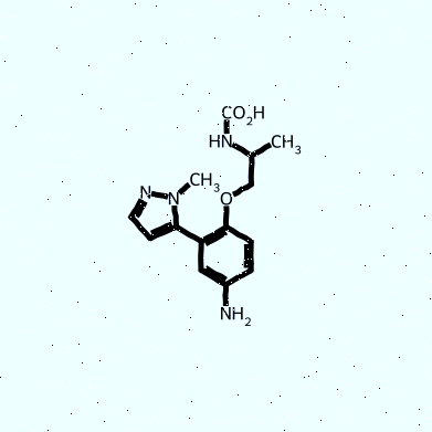 CC(COc1ccc(N)cc1-c1ccnn1C)NC(=O)O